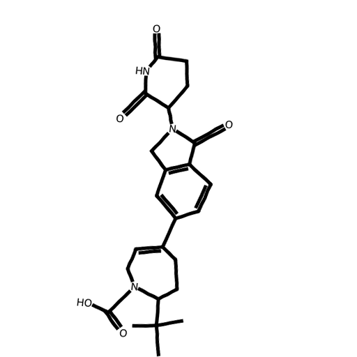 CC(C)(C)C1CCC(c2ccc3c(c2)CN(C2CCC(=O)NC2=O)C3=O)=CCN1C(=O)O